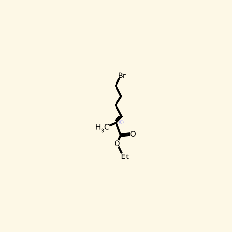 CCOC(=O)/C(C)=C/CCCBr